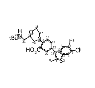 Cc1sc2cc(Cl)c(F)cc2c1-c1ccc(N2CCO[C@H](CNC(C)(C)C)C2)c(C(=O)O)c1